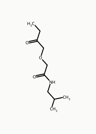 CCC(=O)COCC(=O)NCC(C)C